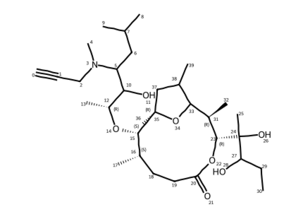 C#CCN(C)C(CC(C)C)C(O)[C@@H](C)O[C@H]1[C@@H](C)CCC(=O)O[C@@H](C(C)(O)C(O)CC)[C@H](C)C2O[C@]1(C)CC2C